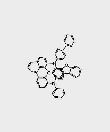 c1ccc(-c2ccc(N(c3ccc4cccc5c4c3Oc3c-5cccc3N(c3ccccc3)c3ccccc3)c3cccc4c3oc3ccccc34)cc2)cc1